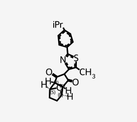 Cc1sc(-c2ccc(C(C)C)cc2)nc1C1C(=O)[C@@H]2[C@H](C1=O)[C@H]1CC[C@@H]2O1